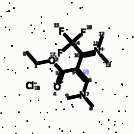 CCOC(=O)/C(=C\N(C)C)C(=[N+](C)C)C(F)(F)F.[Cl-]